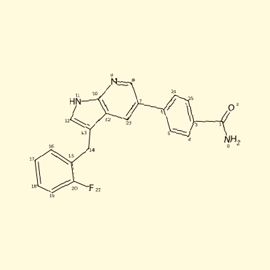 NC(=O)c1ccc(-c2cnc3[nH]cc(Cc4ccccc4F)c3c2)cc1